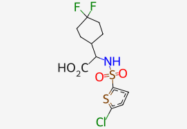 O=C(O)C(NS(=O)(=O)c1ccc(Cl)s1)C1CCC(F)(F)CC1